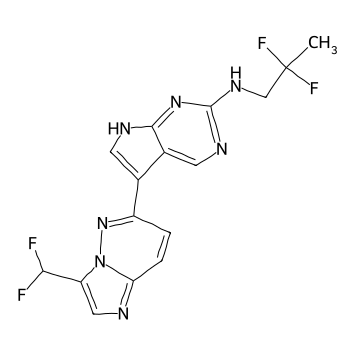 CC(F)(F)CNc1ncc2c(-c3ccc4ncc(C(F)F)n4n3)c[nH]c2n1